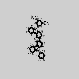 N#Cc1cc(C#N)cc(-n2c3ccccc3c3c4sc5c(ccc6c5c5ccccc5n6-c5ccccc5)c4ccc32)c1